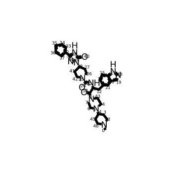 CN1CCC(N2CCN(C(=O)C(Cc3ccc4[nH]ncc4c3)NC(=O)N3CCC(n4nc(-c5ccccc5)[nH]c4=O)CC3)CC2)CC1